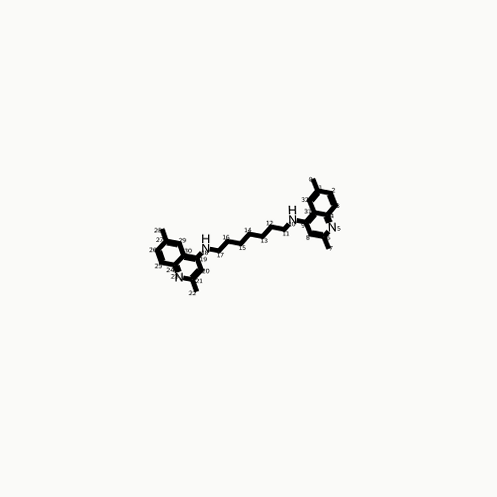 Cc1ccc2nc(C)cc(NCCCCCCCNc3cc(C)nc4ccc(C)cc34)c2c1